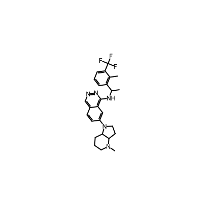 Cc1c(C(C)Nc2nncc3ccc(N4CCC5C4CCCN5C)cc23)cccc1C(F)(F)F